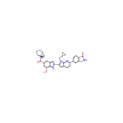 COc1cc(C(=O)N2CC3CCC2[C@@H]3C)cc2nc(-c3cc4ccc(-c5ccc6c(c5)CNC6=O)nc4n3CC3CC3)n(C)c12